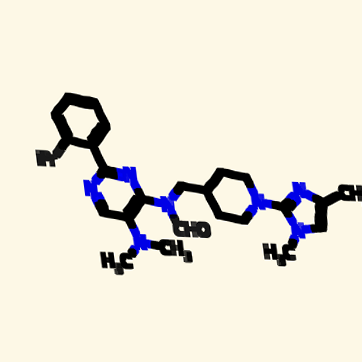 Cc1cn(C)c(N2CCC(CN(C=O)c3nc(-c4ccccc4C(C)C)ncc3N(C)C)CC2)n1